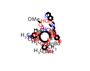 CCCCOc1ccc(OCCCN2CCOCC2)cc1.CC[C@H]1OC(=O)[C@H](C)[C@@H](O[C@H]2C[C@@](C)(OC)[C@@H](O)[C@H](C)O2)[C@H](C)[C@@H](O[C@@H]2O[C@H](C)C[C@H](N(C)C)[C@H]2O)[C@](C)(O)C[C@@H](C)/C(=N\OCOCCOC)[C@H](C)[C@@H](O)[C@]1(C)O.Oc1cccc2cccnc12